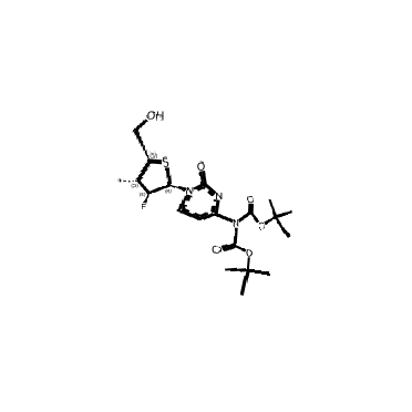 C[C@H]1[C@H](F)[C@H](n2ccc(N(C(=O)OC(C)(C)C)C(=O)OC(C)(C)C)nc2=O)S[C@@H]1CO